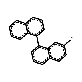 Fc1ccc2cccc(-c3cccc4ccccc34)c2c1